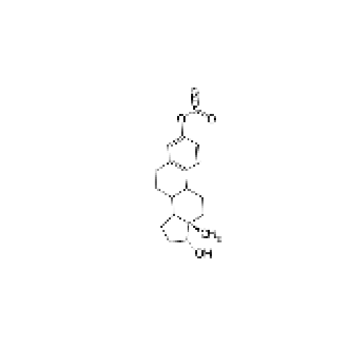 C[C@]12CCC3c4ccc(O[SH](=O)=O)cc4CCC3C1CC[C@H]2O